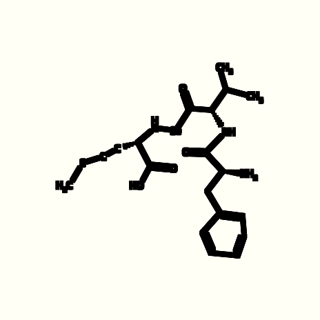 CSCC[C@H](N[Se]C(=O)[C@@H](NC(=O)[C@@H](N)Cc1ccccc1)C(C)C)C(=O)O